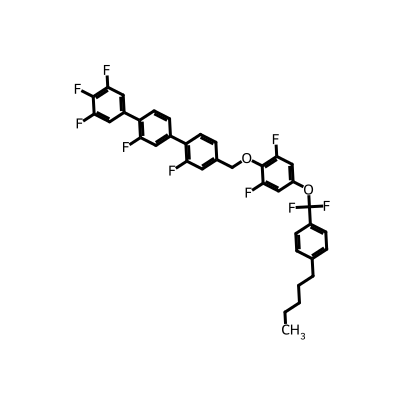 CCCCCc1ccc(C(F)(F)Oc2cc(F)c(OCc3ccc(-c4ccc(-c5cc(F)c(F)c(F)c5)c(F)c4)c(F)c3)c(F)c2)cc1